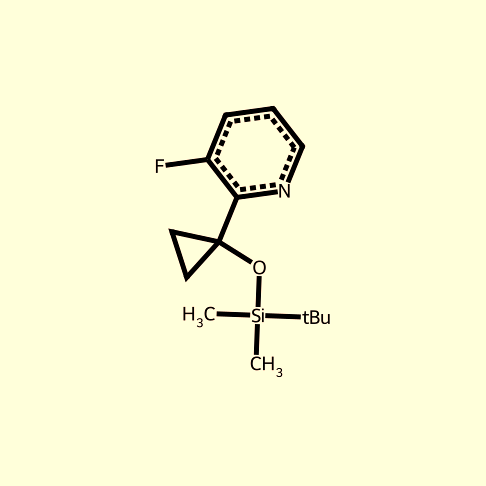 CC(C)(C)[Si](C)(C)OC1(c2ncccc2F)CC1